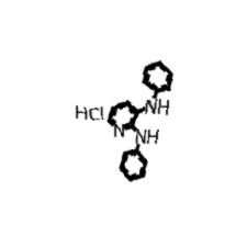 Cl.c1ccc(Nc2cccnc2Nc2ccccc2)cc1